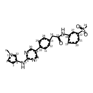 Cn1ccc(Nc2ncc(-c3ccc(CC(=O)Nc4cccc(S(C)(=O)=O)c4)cc3)cn2)c1